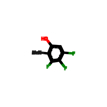 CNc1c(O)cc(F)c(F)c1F